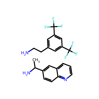 CC(N)c1ccc2ncccc2c1.NCCc1cc(C(F)(F)F)cc(C(F)(F)F)c1